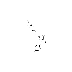 O=C(CSc1nc2c(cnn2-c2ccc(F)cc2)c(=O)[nH]1)Nc1nnc(Br)s1